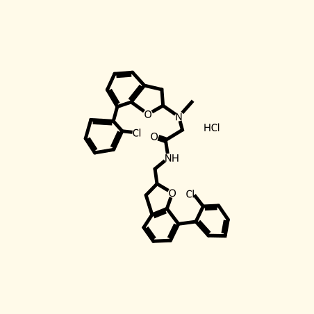 CN(CC(=O)NCC1Cc2cccc(-c3ccccc3Cl)c2O1)C1Cc2cccc(-c3ccccc3Cl)c2O1.Cl